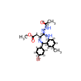 COC(=O)C[C@@H]1N=C(c2ccc(Br)cc2)c2cc(C)ccc2N/C1=N\NC(C)=O